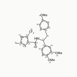 COc1ccc(CC(NC(=O)c2sc(C)nc2C(F)(F)F)c2ccc(OC)c(OC)c2)cc1